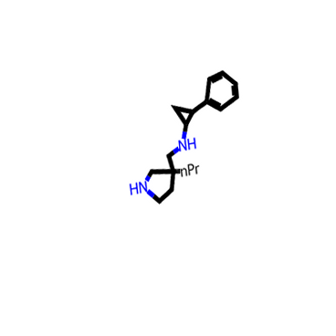 CCCC1(CNC2CC2c2ccccc2)CCNC1